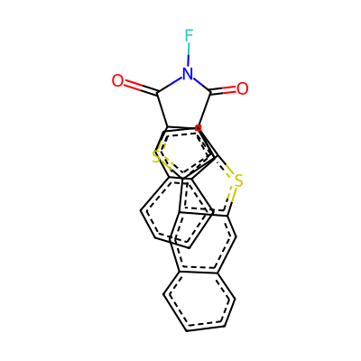 O=C1C2c3c4ccccc4c(c4c3sc3c5cc6ccccc6cc5sc34)C2C(=O)N1F